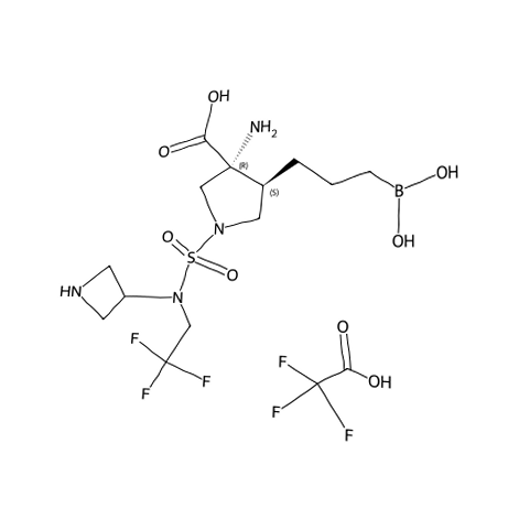 N[C@@]1(C(=O)O)CN(S(=O)(=O)N(CC(F)(F)F)C2CNC2)C[C@@H]1CCCB(O)O.O=C(O)C(F)(F)F